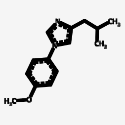 COc1ccc(-n2cnc(CC(C)C)c2)cc1